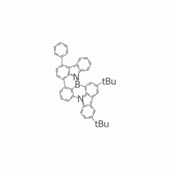 CC(C)(C)c1ccc2c(c1)c1cc(C(C)(C)C)cc3c1n2-c1cccc2c1B3n1c3ccccc3c3c(-c4ccccc4)ccc-2c31